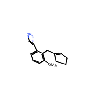 COc1cccc(/C=C/N)c1CC1=CCCC1